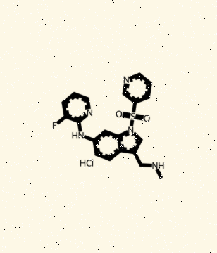 CNCc1cn(S(=O)(=O)c2cccnc2)c2cc(Nc3ncccc3F)ccc12.Cl